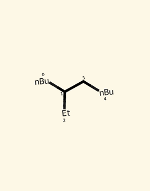 [CH2]CCCC(CC)CCCCC